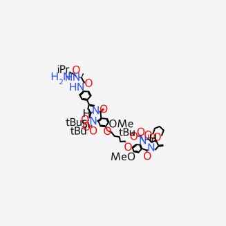 C=C1C[C@H]2[C@H](OC3CCCCO3)N(C(=O)OC(C)(C)C)c3cc(OCCCCCOc4cc5c(cc4OC)C(=O)N4C=C(c6ccc(NC(=O)[C@H](C)NC(=O)[C@@H](N)C(C)C)cc6)C[C@H]4C(O[Si](C)(C)C(C)(C)C)N5C(=O)OC(C)(C)C)c(OC)cc3C(=O)N2C1